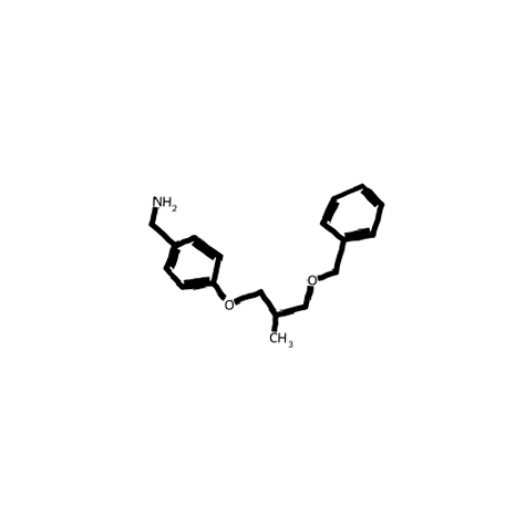 CC(COCc1ccccc1)COc1ccc(CN)cc1